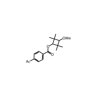 COC1C(C)(C)C(OC(=O)c2ccc(C(C)=O)cc2)C1(C)C